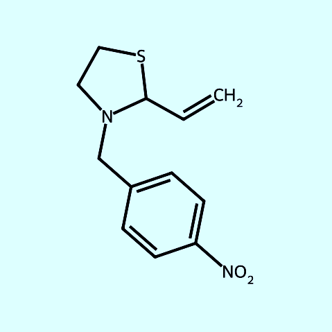 C=CC1SCCN1Cc1ccc([N+](=O)[O-])cc1